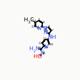 Cc1ccc(-n2ccc(Nc3ccc(/C(N)=N/O)nc3)n2)nc1